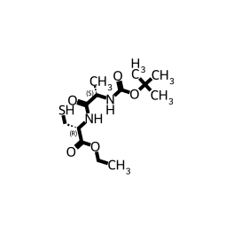 CCOC(=O)[C@H](CS)NC(=O)[C@H](C)NC(=O)OC(C)(C)C